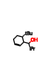 CC(C)C(O)C1C=CCCC1C(C)(C)C